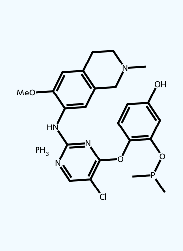 COc1cc2c(cc1Nc1ncc(Cl)c(Oc3ccc(O)cc3OP(C)C)n1)CN(C)CC2.P